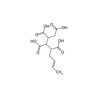 CC=CCC(C(=O)O)C(C(=O)O)C(CC(=O)O)C(=O)O